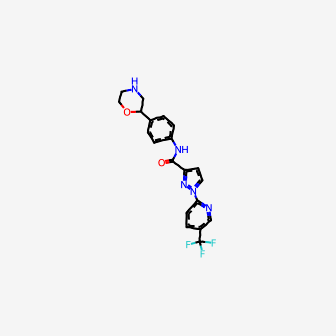 O=C(Nc1ccc(C2CNCCO2)cc1)c1ccn(-c2ccc(C(F)(F)F)cn2)n1